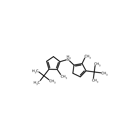 CC1=C([SiH2]C2=C(C)C(C(C)(C)C)=CC2)CC=C1C(C)(C)C